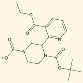 CCOC(=O)c1cccnc1C1CN(C(=O)O)CCN1C(=O)OC(C)(C)C